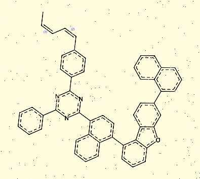 C/C=C\C=C/c1ccc(-c2nc(-c3ccccc3)nc(-c3ccc(-c4cccc5oc6cc(-c7cccc8ccccc78)ccc6c45)c4ccccc34)n2)cc1